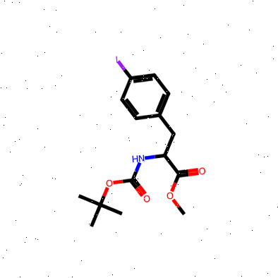 COC(=O)C(Cc1ccc(I)cc1)NC(=O)OC(C)(C)C